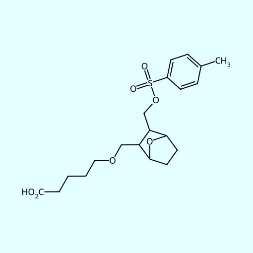 Cc1ccc(S(=O)(=O)OCC2C3CCC(O3)C2COCCCCC(=O)O)cc1